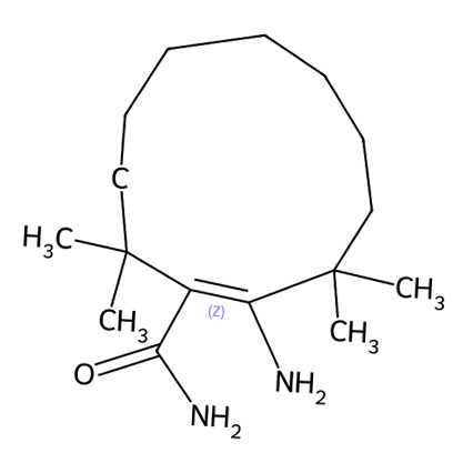 CC1(C)CCCCCCCC(C)(C)/C(C(N)=O)=C\1N